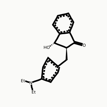 CCN(CC)c1ccc(C[C@@H]2C(=O)c3ccccc3[C@H]2O)cc1